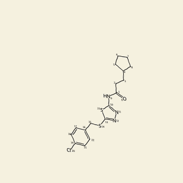 O=C(CCC1CCCC1)Nc1nnc(SCc2ccc(Cl)cc2)s1